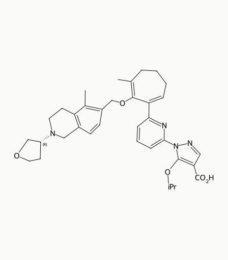 CC1=C(OCc2ccc3c(c2C)CCN([C@@H]2CCOC2)C3)C(c2cccc(-n3ncc(C(=O)O)c3OC(C)C)n2)=CCCC1